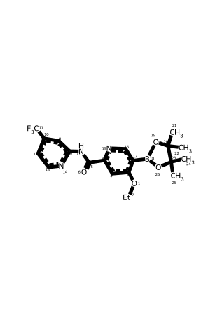 CCOc1cc(C(=O)Nc2cc(C(F)(F)F)ccn2)ncc1B1OC(C)(C)C(C)(C)O1